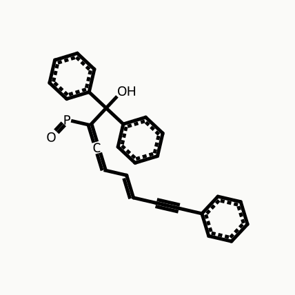 O=PC(=C=CC=CC#Cc1ccccc1)C(O)(c1ccccc1)c1ccccc1